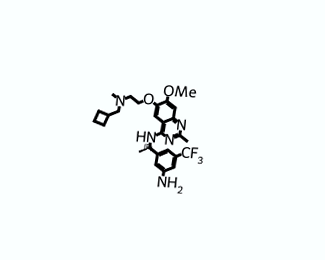 COc1cc2nc(C)nc(N[C@H](C)c3cc(N)cc(C(F)(F)F)c3)c2cc1OCCN(C)CC1CCC1